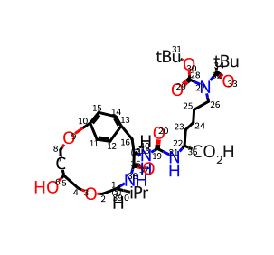 CC(C)[C@H]1COCC(O)CCOc2ccc(cc2)C[C@@H](NC(=O)NC(CCCCN(C(=O)OC(C)(C)C)C(=O)C(C)(C)C)C(=O)O)C(=O)N1